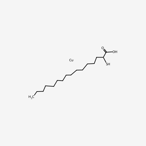 CCCCCCCCCCCCCCC(S)C(=O)O.[Cu]